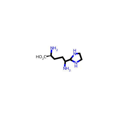 NC(CC[C@H](N)C(=O)O)C1NCCN1